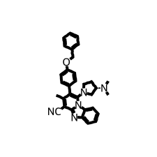 Cc1c(-c2ccc(OCc3ccccc3)cc2)c(N2CC[C@H](N(C)C)C2)n2c(nc3ccccc32)c1C#N